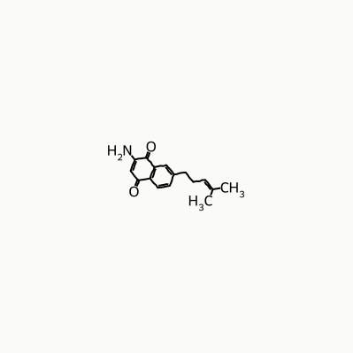 CC(C)=CCCc1ccc2c(c1)C(=O)C(N)=CC2=O